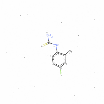 CC(C)c1cc(F)ccc1NC(N)=S